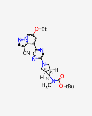 CCOc1cc(-c2cnc(N3C[C@@H]4[C@H](C3)[C@@H]4N(C)C(=O)OC(C)(C)C)cn2)c2c(C#N)cnn2c1